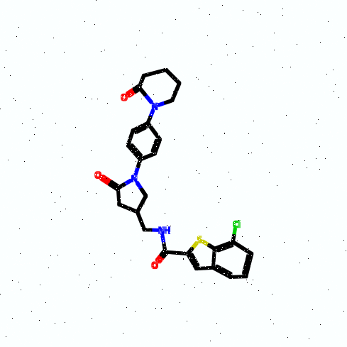 O=C(NCC1CC(=O)N(c2ccc(N3CCCCC3=O)cc2)C1)c1cc2cccc(Cl)c2s1